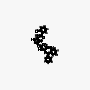 O=C(NC1N=C(c2ccccc2)c2ccccc2NC1=O)Oc1n[nH]c(NC(=O)c2ccccc2Cl)c1F